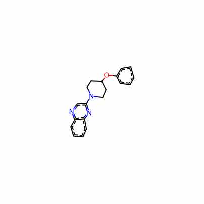 c1ccc(OC2CCN(c3cnc4ccccc4n3)CC2)cc1